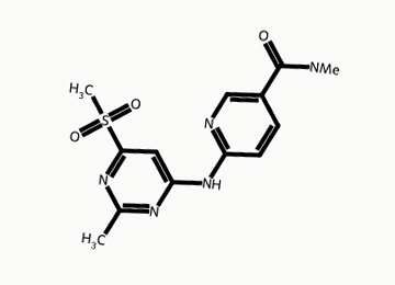 CNC(=O)c1ccc(Nc2cc(S(C)(=O)=O)nc(C)n2)nc1